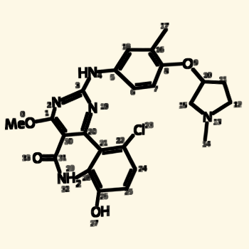 COc1nc(Nc2ccc(OC3CCN(C)C3)c(C)c2)nc(-c2c(Cl)ccc(O)c2C)c1C(N)=O